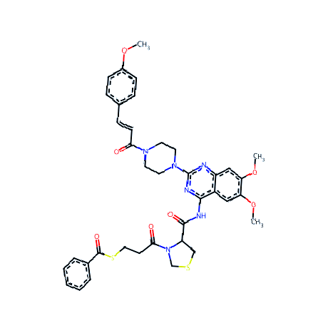 COc1ccc(C=CC(=O)N2CCN(c3nc(NC(=O)C4CSCN4C(=O)CCSC(=O)c4ccccc4)c4cc(OC)c(OC)cc4n3)CC2)cc1